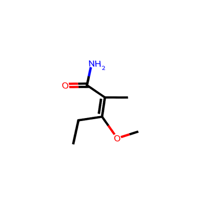 CCC(OC)=C(C)C(N)=O